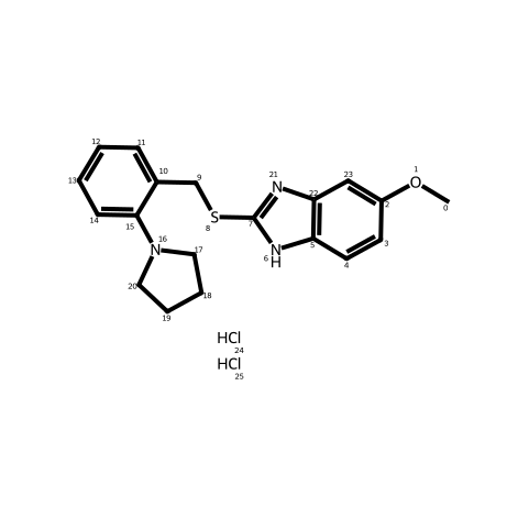 COc1ccc2[nH]c(SCc3ccccc3N3CCCC3)nc2c1.Cl.Cl